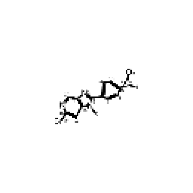 Cn1c(-c2ccc([S+](C)[O-])cc2)nc2cnc(Br)cc21